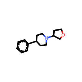 c1ccc(C2CCN(C3CCOC3)CC2)cc1